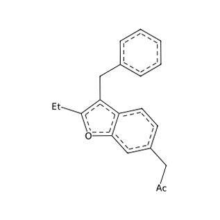 CCc1oc2cc(CC(C)=O)ccc2c1Cc1ccccc1